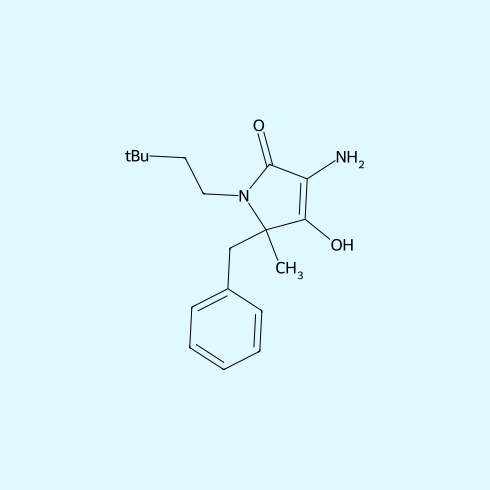 CC(C)(C)CCN1C(=O)C(N)=C(O)C1(C)Cc1ccccc1